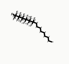 CCCCCCCCCC(F)(F)C(F)(F)C(F)(F)C(F)(F)C(F)(F)C(F)(F)F